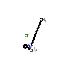 CCCCCCCCCCCCCCCCCC[N+](C)(C)C(CC)c1ccccc1.[Cl-]